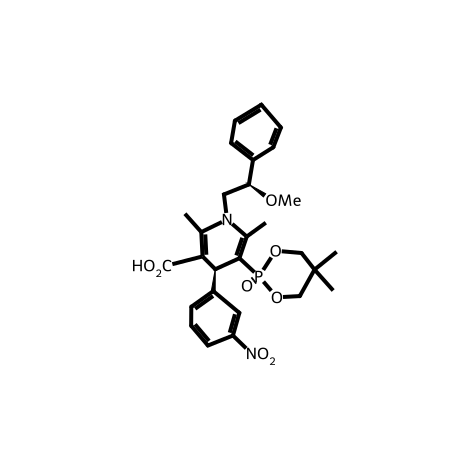 CO[C@@H](CN1C(C)=C(C(=O)O)[C@H](c2cccc([N+](=O)[O-])c2)C(P2(=O)OCC(C)(C)CO2)=C1C)c1ccccc1